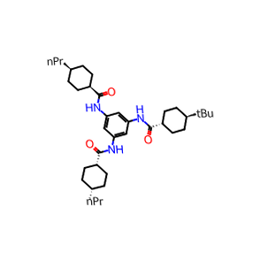 CCC[C@H]1CC[C@@H](C(=O)Nc2cc(NC(=O)[C@H]3CC[C@@H](CCC)CC3)cc(NC(=O)[C@H]3CC[C@H](C(C)(C)C)CC3)c2)CC1